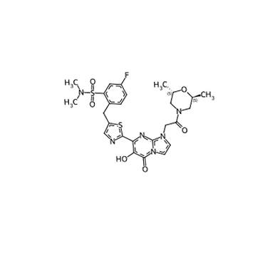 C[C@H]1CN(C(=O)Cn2ccn3c(=O)c(O)c(-c4ncc(Cc5ccc(F)cc5S(=O)(=O)N(C)C)s4)nc23)C[C@H](C)O1